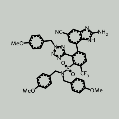 COc1ccc(CN(Cc2ccc(OC)cc2)S(=O)(=O)c2c(C(F)(F)F)ccc(-c3cc(C#N)cc4nc(N)[nH]c34)c2-c2nnn(Cc3ccc(OC)cc3)n2)cc1